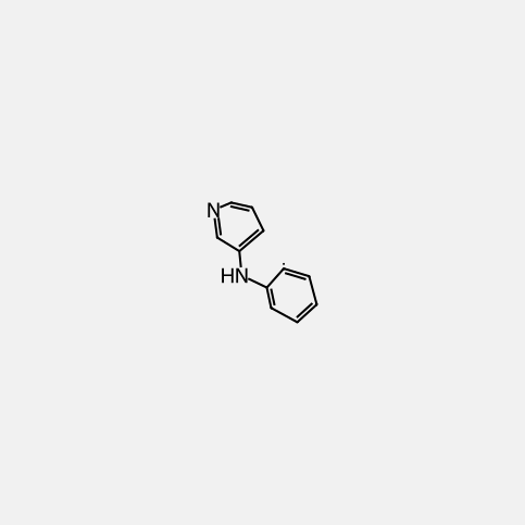 [c]1ccccc1Nc1cccnc1